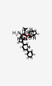 Nc1c(C2CC2)c([C@H]2C[C@H]3CC[C@@H](C2)N3S(=O)(=O)c2nnc[nH]2)nc2c(-c3ccc(-c4ccccc4)nc3)cnn12